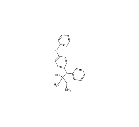 CC(O)(CN)C(c1ccccc1)c1ccc(Sc2ccccc2)cc1